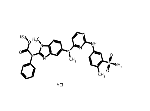 Cc1ccc(Nc2nccc(N(C)c3ccc4c(c3)nc(N(C(=O)OC(C)(C)C)c3ccccc3)n4C)n2)cc1S(N)(=O)=O.Cl